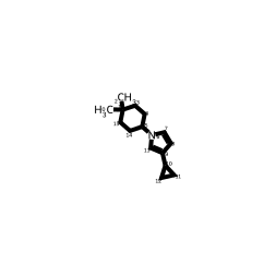 CC1(C)CCC(n2ccc(C3CC3)c2)CC1